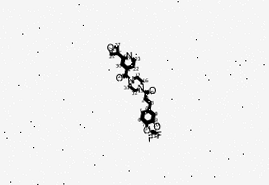 O=C(/C=C/c1ccc2c(c1)OC(F)(F)O2)N1CCN(C(=O)c2ccnc(C3COC3)c2)CC1